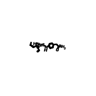 C=Cc1c(/C=C\C)[nH]n1SNc1ccc(CC(N)=O)cc1